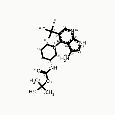 CC(C)(C)OC(=O)N[C@@H]1CCCN(c2c(C(F)(F)F)cnc3[nH]cc(N)c23)C1